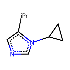 CC(C)c1cncn1C1CC1